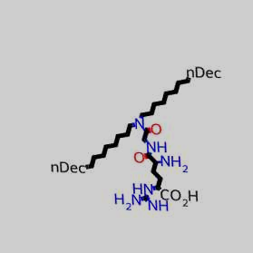 CCCCCCCCCCCCCCCCCCN(CCCCCCCCCCCCCCCCCC)C(=O)CNC(=O)[C@@H](N)CCC(NC(=N)N)C(=O)O